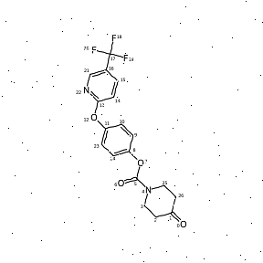 O=C1CCN(C(=O)Oc2ccc(Oc3ccc(C(F)(F)F)cn3)cc2)CC1